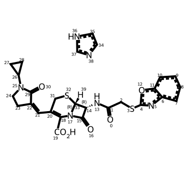 O=C(CSc1nc2ccccc2o1)N[C@@H]1C(=O)N2C(C(=O)O)=C(C=C3CCN(C4CC4)C3=O)CS[C@H]12.c1c[nH]cn1